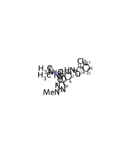 CNc1ncc(-c2ccc(NC(=O)Cc3ccccc3Cl)cc2S(=O)(=O)/N=C/N(C)C)cn1